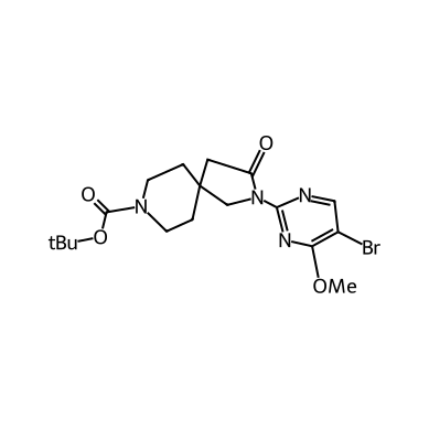 COc1nc(N2CC3(CCN(C(=O)OC(C)(C)C)CC3)CC2=O)ncc1Br